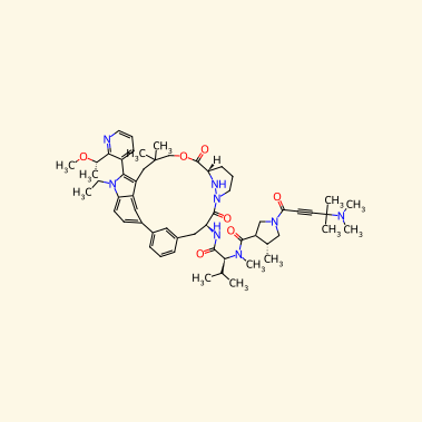 CCn1c(-c2cccnc2[C@H](C)OC)c2c3cc(ccc31)-c1cccc(c1)C[C@H](NC(=O)[C@H](C(C)C)N(C)C(=O)C1CN(C(=O)C#CC(C)(C)N(C)C)C[C@@H]1C)C(=O)N1CCC[C@H](N1)C(=O)OCC(C)(C)C2